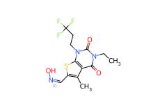 CCn1c(=O)c2c(C)c(/C=N\O)sc2n(CCC(F)(F)F)c1=O